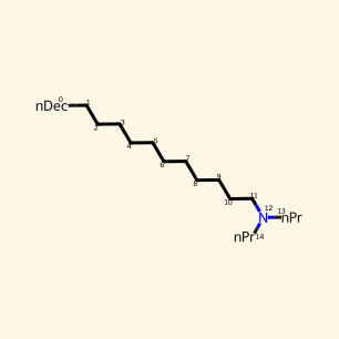 CCCCCCCCCCCCCCCCCCCCCN(CCC)CCC